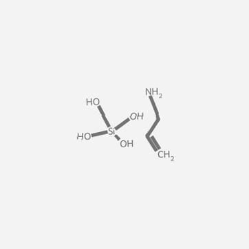 C=CCN.O[Si](O)(O)O